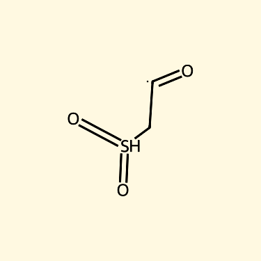 O=[C]C[SH](=O)=O